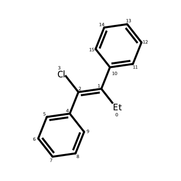 CC/C(=C(/Cl)c1ccccc1)c1ccccc1